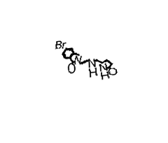 O=C1CCC(CNCCN2Cc3cc(Br)ccc3C2=O)N1